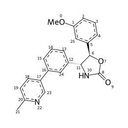 COc1cccc([C@H]2OC(=O)N[C@@H]2c2cccc(-c3ccc(C)nc3)c2)c1